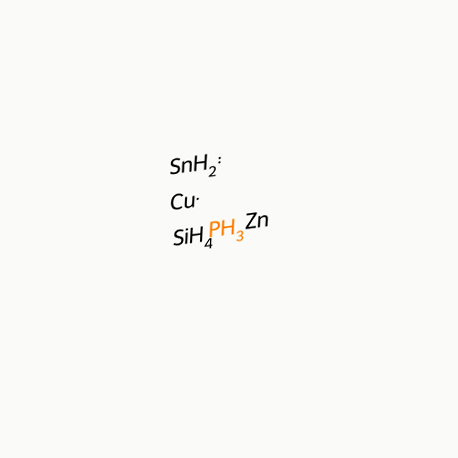 P.[Cu].[SiH4].[SnH2].[Zn]